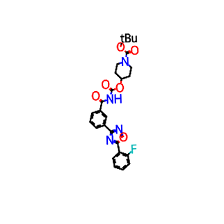 CC(C)(C)OC(=O)N1CCC(OC(=O)NC(=O)c2cccc(-c3noc(-c4ccccc4F)n3)c2)CC1